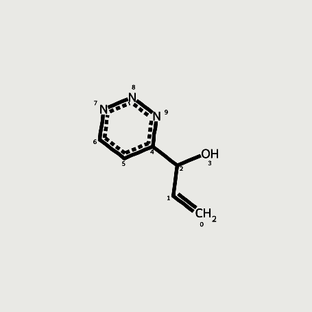 C=CC(O)c1ccnnn1